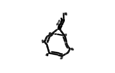 C[SiH]1c2ccccc21